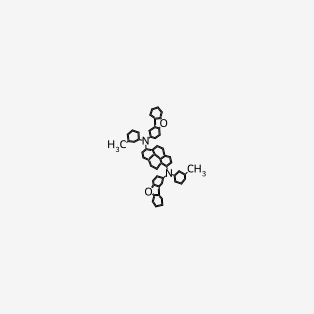 Cc1cccc(N(c2ccc3oc4ccccc4c3c2)c2ccc3ccc4c(N(c5cccc(C)c5)c5ccc6oc7ccccc7c6c5)ccc5ccc2c3c54)c1